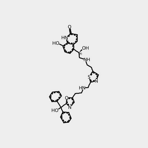 O=c1ccc2c([C@@H](O)CNCCc3cnc(CNCCc4cnc(C(O)(c5ccccc5)c5ccccc5)o4)s3)ccc(O)c2[nH]1